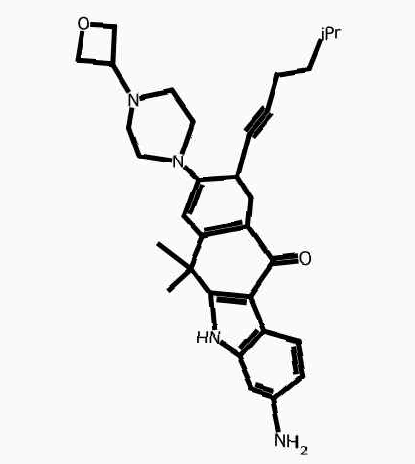 CC(C)CCC#CC1CC2=C(C=C1N1CCN(C3COC3)CC1)C(C)(C)c1[nH]c3cc(N)ccc3c1C2=O